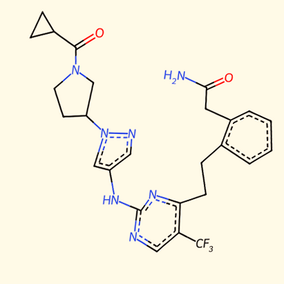 NC(=O)Cc1ccccc1CCc1nc(Nc2cnn(C3CCN(C(=O)C4CC4)C3)c2)ncc1C(F)(F)F